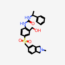 CC(NC(=O)Nc1ccc(S(=O)(=O)Cc2ccc3c(c2)CN(C)C3)cc1CO)c1ccccc1